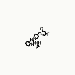 O=c1cc(F)ccn1CC1CCN(c2nc3ccccc3nc2NC2CC2)CC1